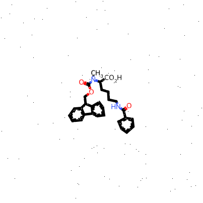 CN(C(=O)OCC1c2ccccc2-c2ccccc21)C(CCCCNC(=O)c1ccccc1)C(=O)O